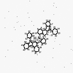 Nc1c(-c2cc3c(c4ccccc24)c2ccccc2n3-c2ccccc2)cccc1-c1cc2c(c3ccccc13)c1ccccc1n2-c1ccccc1